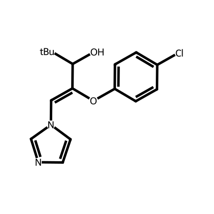 CC(C)(C)C(O)/C(=C/n1ccnc1)Oc1ccc(Cl)cc1